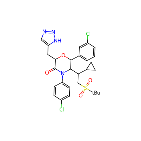 CC(C)(C)S(=O)(=O)CC(C1CC1)C1C(c2cccc(Cl)c2)OC(Cc2cnn[nH]2)C(=O)N1c1ccc(Cl)cc1